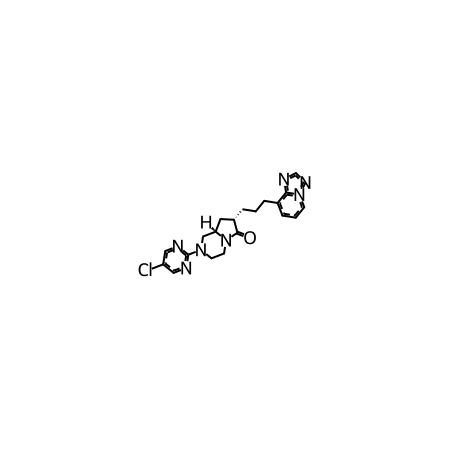 O=C1[C@@H](CCCc2cccn3ncnc23)C[C@H]2CN(c3ncc(Cl)cn3)CCN12